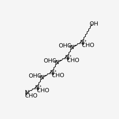 CN(CC=O)CCCCCC[N+](C)(CC=O)CCCCCC[N+](C)(CC=O)CCCCCC[N+](C)(CC=O)CCCCCC[N+](C)(CC=O)CCCCCC[N+](C)(CC=O)CCCCCC[N+](C)(CC=O)CCCCCC[N+](C)(CC=O)CCCCCCCCCCCCO